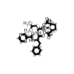 CC(C)C[C@H](NC(=O)C(Cc1ccccc1)NC(=O)c1cnccn1)B1OC(=O)[C@H]2CC[C@@H](C(=O)O1)N2C